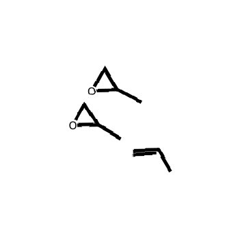 C=CC.CC1CO1.CC1CO1